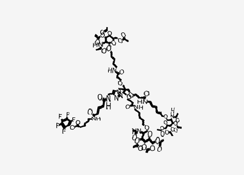 CC(=O)NC1C(OC(C)=O)[C@@H](OC(C)=O)C(COC(C)=O)O[C@H]1OCCCCCCNC(=O)CCOCC(COCCC(=O)NCCCCCO[C@@H]1OC(COC(C)=O)[C@H](OC(C)=O)C(OC(C)=O)C1NC(C)=O)(COCCC(=O)NCCCCCO[C@@H]1OC(COC(C)=O)[C@H](OC(C)=O)C(OC(C)=O)C1NC(C)=O)Cn1cc(CNC(=O)CCCC(=O)NCCCCCC(=O)Oc2c(F)c(F)c(F)c(F)c2F)nn1